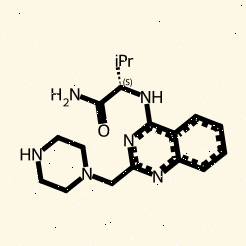 CC(C)[C@H](Nc1nc(CN2CCNCC2)nc2ccccc12)C(N)=O